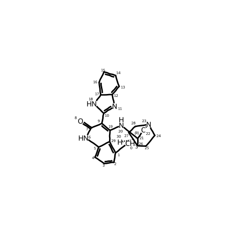 Cc1cccc2[nH]c(=O)c(-c3nc4ccccc4[nH]3)c(N[C@H]3CN4CCC3CC4)c12